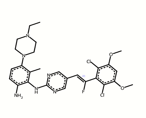 CCN1CCN(c2ccc(N)c(Nc3ncc(/C=C(\F)c4c(Cl)c(OC)cc(OC)c4Cl)cn3)c2C)CC1